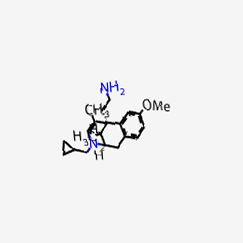 COc1ccc2c(c1)[C@]1(CCN)C(C)=CN(CC3CC3)[C@H](C2)[C@@H]1C